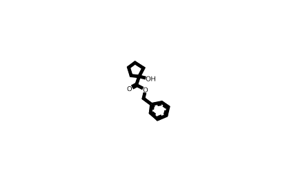 O=C(OCc1ccccc1)C1(O)CCCC1